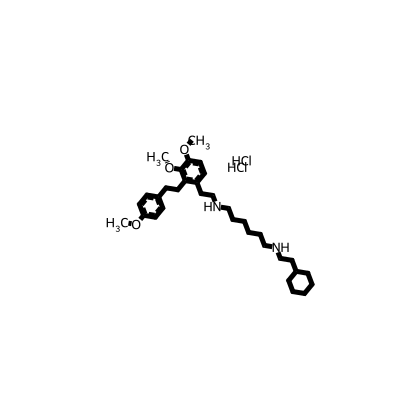 COc1ccc(CCc2c(CCNCCCCCCNCCC3CCCCC3)ccc(OC)c2OC)cc1.Cl.Cl